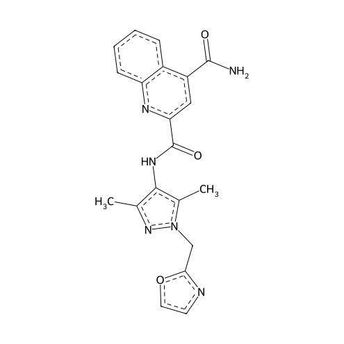 Cc1nn(Cc2ncco2)c(C)c1NC(=O)c1cc(C(N)=O)c2ccccc2n1